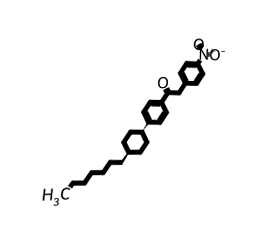 CCCCCCC[C@H]1CC[C@H](c2ccc(C(=O)Cc3ccc([N+](=O)[O-])cc3)cc2)CC1